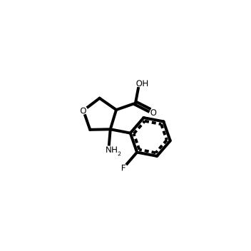 NC1(c2ccccc2F)COCC1C(=O)O